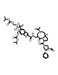 CC(=O)N1CC[C@H]2CC[C@@H](C(=O)N3C[C@@H](C#N)[C@H](c4ccccc4)C3)N2C(=O)C(CNC(=O)c2cc3cc(C(F)(F)P(=O)(OCOC(=O)OC(C)C)OCOC(=O)OC(C)C)ccc3s2)C1